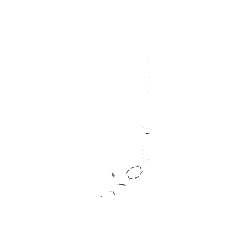 CN(CCOC(=O)NCCOCCOCCCCCCCl)c1ccc(/C=C(\C#N)C(=O)OC(C)(C)C)cc1